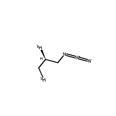 [2H]C[C@@H]([2H])CN=[N+]=[N-]